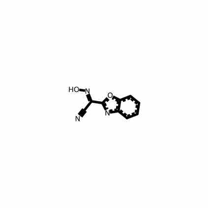 N#C/C(=N\O)c1nc2ccccc2o1